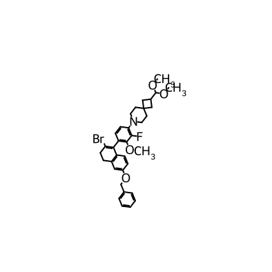 COc1c(C2=C(Br)CCc3cc(OCc4ccccc4)ccc32)ccc(N2CCC3(CC2)CC(C(OC)OC)C3)c1F